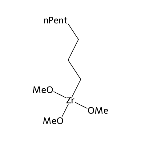 CCCCCCC[CH2][Zr]([O]C)([O]C)[O]C